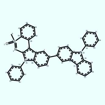 CS1(=O)=Nc2c(c3cc(-c4ccc5c(c4)c4ccccc4n5-c4ccccc4)ccc3n2-c2ccccc2)-c2ccccc21